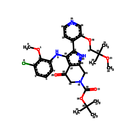 COc1c(Cl)cccc1Nc1c(-c2ccncc2OCC(C)(C)OC)[nH]c2c1C(=O)CN(C(=O)OC(C)(C)C)C2